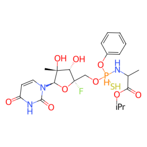 CC(C)OC(=O)C(C)N[PH](S)(OC[C@@]1(F)O[C@@H](n2ccc(=O)[nH]c2=O)[C@](C)(O)[C@@H]1O)Oc1ccccc1